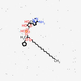 CCCCCCCCCCCCCCCCCCOC[C@](C)(COP(=O)(O)OC[C@H]1O[C@@](C)(c2ccc3c(N)ncnn23)[C@H](O)[C@@H]1O)OCc1ccccc1